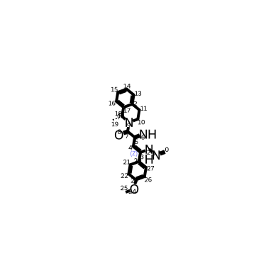 C=NN/C(=C\C(=N)C(=O)N1CCc2ccccc2[C@H]1C)c1ccc(OC)cc1